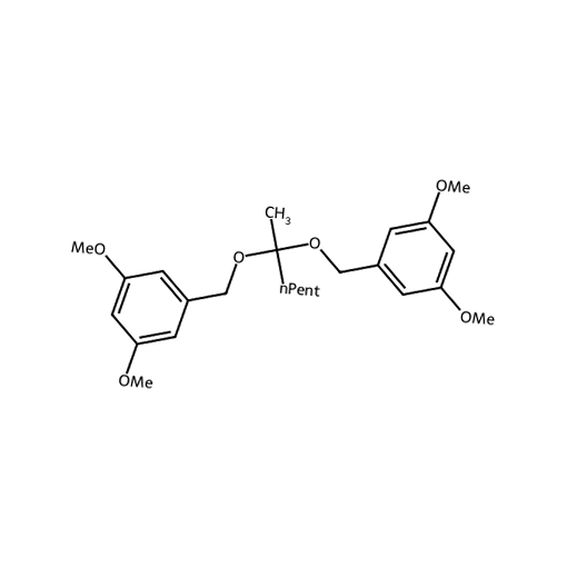 CCCCCC(C)(OCc1cc(OC)cc(OC)c1)OCc1cc(OC)cc(OC)c1